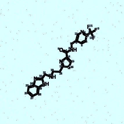 O=C(NCc1ccc(C(F)(F)F)nc1)c1csc(CCNCc2nc3ccccc3[nH]2)n1